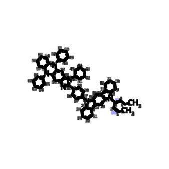 C/C=C\C(=C/CC)n1c2ccccc2c2cc3c(cc21)c1ccccc1n3-c1ccc(-c2nc3cc4c(cc3n2-c2ccccc2)N(c2ccccc2)c2ccccc2N4c2ccccc2)cc1